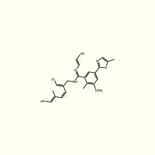 CC/C=C(/C=C\C(C)=C\CCC)CN/C(=N/C=C/CCC)c1cc(-c2ncc(C)s2)cc(OC)c1C